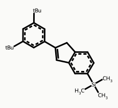 CC(C)(C)c1cc(C2=Cc3cc([Si](C)(C)C)ccc3C2)cc(C(C)(C)C)c1